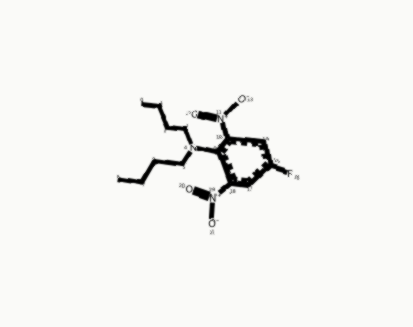 CCCCN(CCCC)c1c([N+](=O)[O-])cc(F)cc1[N+](=O)[O-]